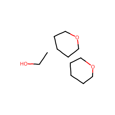 C1CCOCC1.C1CCOCC1.CCO